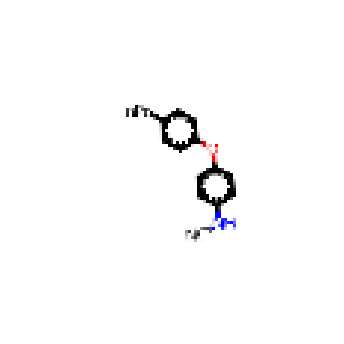 CCCc1ccc(Oc2ccc(NC#N)cc2)cc1